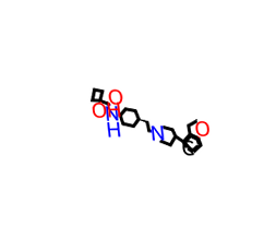 O=C(N[C@H]1CC[C@H](CCN2CCC(c3cccc4c3CCO4)CC2)CC1)C1(O)CCC1